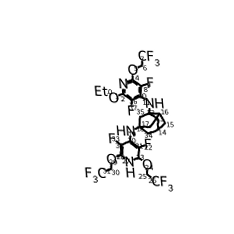 CCOc1nc(OCC(F)(F)F)c(F)c(NC23CC4CC2CC(NC2=C(F)C(OCC(F)(F)F)NC(OCC(F)(F)F)=C2F)(C4)C3)c1F